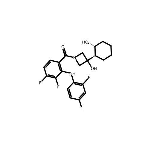 O=C(c1ccc(F)c(F)c1Nc1ccc(I)cc1F)N1CC(O)([C@@H]2CCCC[C@H]2O)C1